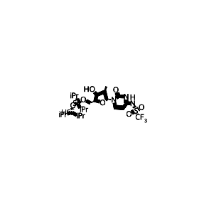 CC(C)[SiH](O[Si](OC[C@H]1O[C@@H](n2ccc(NS(=O)(=O)C(F)(F)F)nc2=O)[C@H](C)C1O)(C(C)C)C(C)C)C(C)C